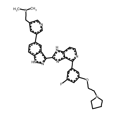 CN(C)Cc1cncc(-c2ccc3[nH]nc(-c4nc5c(-c6cc(F)cc(OCCN7CCCC7)c6)nccc5[nH]4)c3c2)c1